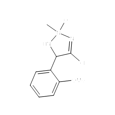 COc1ccccc1C1N[N+](C)([O-])N=C1Cl